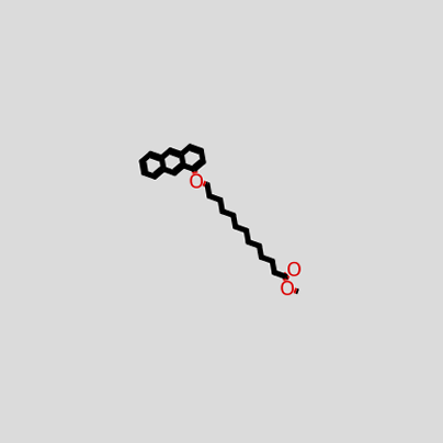 COC(=O)CCCCCCCCCCCCOc1cccc2cc3ccccc3cc12